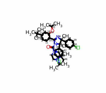 CCN1CCN(C(=O)N2C(c3ccc(C(C)(C)C)cc3OC(C)C)=N[C@@](C)(c3ccc(Cl)cc3)[C@@]2(C)c2ccc(Cl)cc2)CC1(C)CC